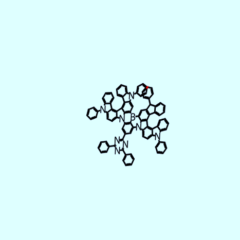 c1ccc(-c2nc(-c3ccccc3)nc(-c3cc4c5c(c3)-n3c6ccc7c(c8ccccc8n7-c7ccccc7)c6c6c7c8ccccc8n(-c8ccccc8)c7cc(c63)B5c3cc5c(c6c7c8c9ccccc9n(-c9ccccc9)c8ccc7n-4c36)-c3ccccc3C5c3ccccc3)n2)cc1